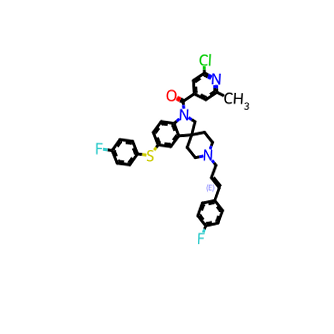 Cc1cc(C(=O)N2CC3(CCN(C/C=C/c4ccc(F)cc4)CC3)c3cc(Sc4ccc(F)cc4)ccc32)cc(Cl)n1